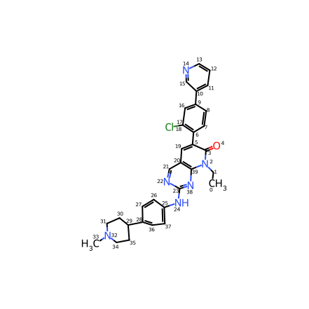 CCn1c(=O)c(-c2ccc(-c3cccnc3)cc2Cl)cc2cnc(Nc3ccc(C4CCN(C)CC4)cc3)nc21